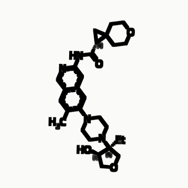 CC[C@]1(N2CCN(c3cc4cc(NC(=O)[C@@H]5CC56CCOCC6)ncc4cc3C)CC2)COC[C@H]1O